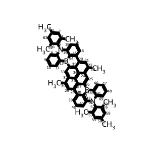 Cc1cc(C)c(N2c3ccccc3B3c4c(cccc42)-c2cc(C)c4cc5c6c(cc(C)c7cc3c2c4c76)-c2cccc3c2B5c2ccccc2N3c2c(C)cc(C)cc2C)c(C)c1